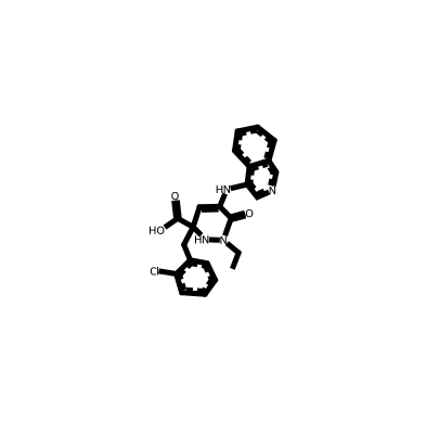 CCN1NC(Cc2ccccc2Cl)(C(=O)O)C=C(Nc2cncc3ccccc23)C1=O